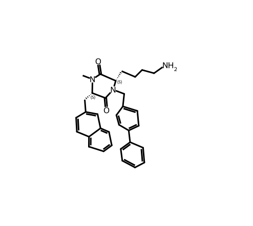 CN1C(=O)[C@H](CCCCN)N(Cc2ccc(-c3ccccc3)cc2)C(=O)[C@@H]1Cc1ccc2ccccc2c1